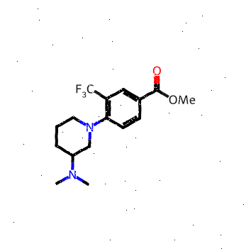 COC(=O)c1ccc(N2CCCC(N(C)C)C2)c(C(F)(F)F)c1